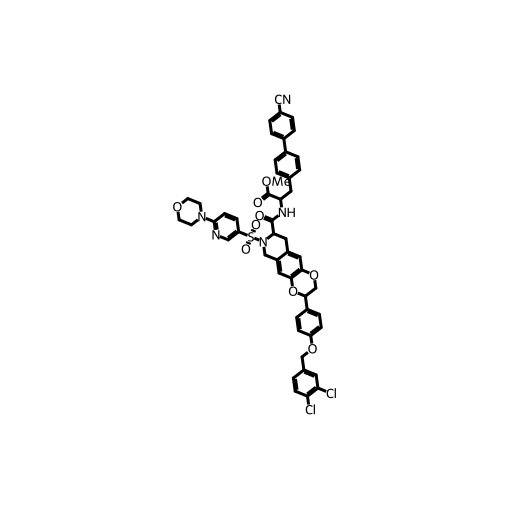 COC(=O)C(Cc1ccc(-c2ccc(C#N)cc2)cc1)NC(=O)C1Cc2cc3c(cc2CN1S(=O)(=O)c1ccc(N2CCOCC2)nc1)OC(c1ccc(OCc2ccc(Cl)c(Cl)c2)cc1)CO3